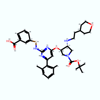 Cc1cccc(C)c1-c1cc(O[C@@H]2CN(C(=O)OC(C)(C)C)C[C@H]2NCCC2CCOCC2)nc(NSc2cccc(C(=O)O)c2)n1